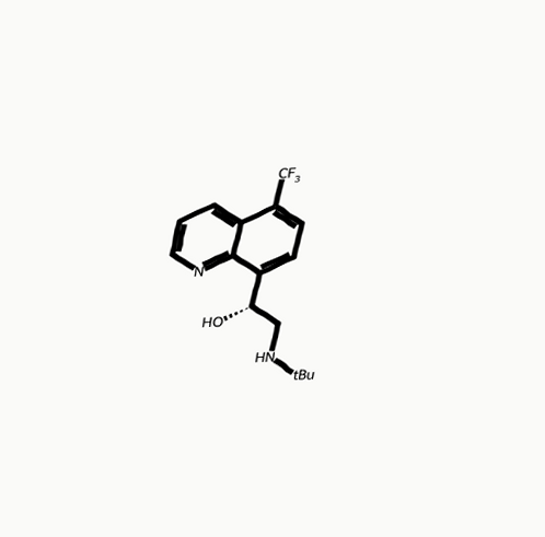 CC(C)(C)NC[C@H](O)c1ccc(C(F)(F)F)c2cccnc12